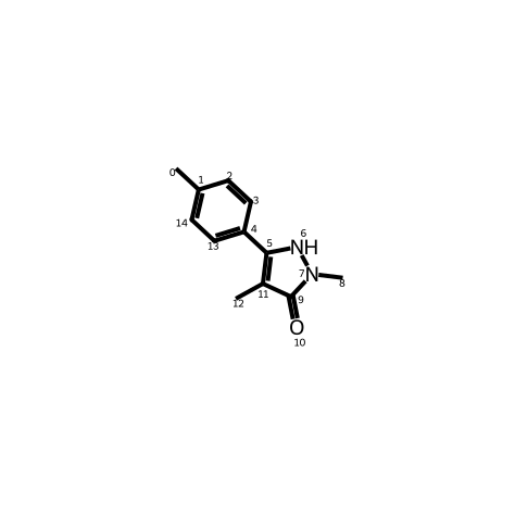 Cc1ccc(-c2[nH]n(C)c(=O)c2C)cc1